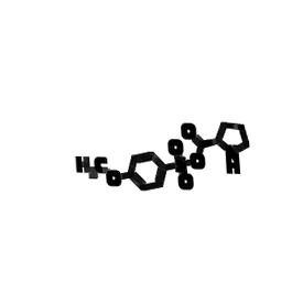 COc1ccc(S(=O)(=O)OC(=O)[C@H]2CCCN2)cc1